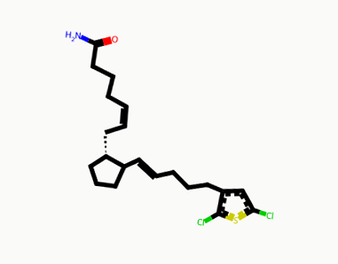 NC(=O)CCC/C=C\C[C@H]1CCCC1/C=C/CCCc1cc(Cl)sc1Cl